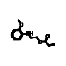 C=CC(=O)OCCNc1ccccc1OC